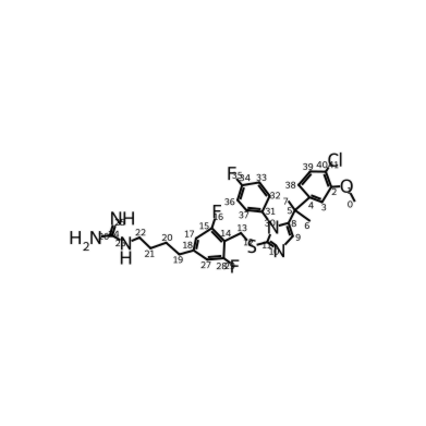 COc1cc(C(C)(C)c2cnc(SCc3c(F)cc(CCCCNC(=N)N)cc3F)n2-c2ccc(F)cc2)ccc1Cl